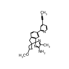 CC#Cc1ccnc(-c2ccc3c(c2)C2(N=C(C)C(N)=N2)C2(CCC(OC)CC2)C3)c1